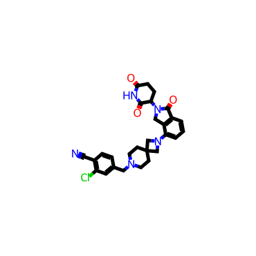 N#Cc1ccc(CN2CCC3(CC2)CN(c2cccc4c2CN(C2CCC(=O)NC2=O)C4=O)C3)cc1Cl